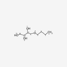 CCCCOCC(O)C(O)CO